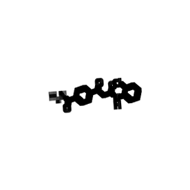 NC(=O)c1ccc(C(=O)CC(=O)Nc2ccccc2Cl)cc1